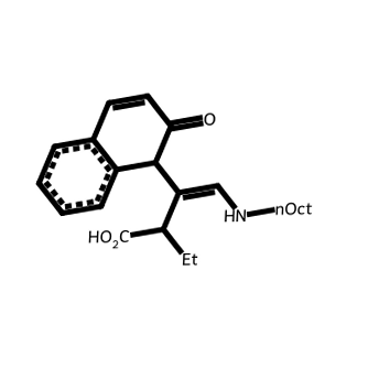 CCCCCCCCNC=C(C(CC)C(=O)O)C1C(=O)C=Cc2ccccc21